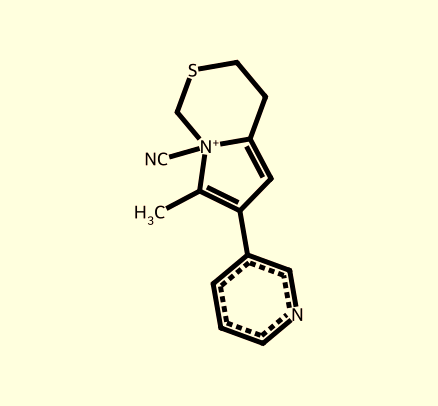 CC1=C(c2cccnc2)C=C2CCSC[N+]21C#N